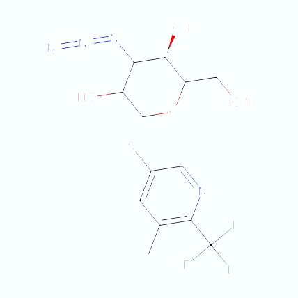 Cc1cc(S[C@H]2OC(CO)[C@H](O)C(N=[N+]=[N-])C2O)cnc1C(F)(F)F